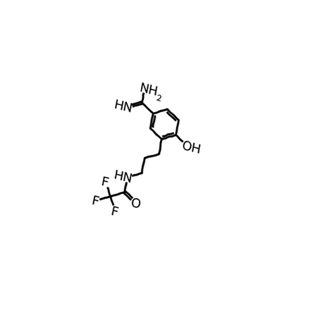 N=C(N)c1ccc(O)c(CCCNC(=O)C(F)(F)F)c1